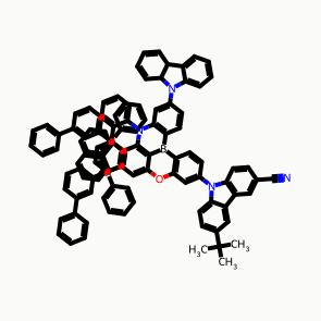 CC(C)(C)c1ccc2c(c1)c1cc(C#N)ccc1n2-c1ccc2c(c1)Oc1cc([Si](c3ccccc3)(c3ccccc3)c3cccc(-c4ccccc4)c3)c([Si](c3ccccc3)(c3ccccc3)c3cccc(-c4ccccc4)c3)c3c1B2c1ccc(N2c4ccccc4C4C=CC=CC42)cc1N3c1ccccc1-c1ccccc1